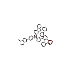 C=Cc1ccc(-c2ccc(N(c3cccc(-c4cccc(-c5ccccc5)c4-c4ccccc4-c4ccccc4)c3)c3ccc4c(c3)C(c3ccccc3)(c3ccccc3)c3ccccc3-4)cc2)cc1/C=C\C